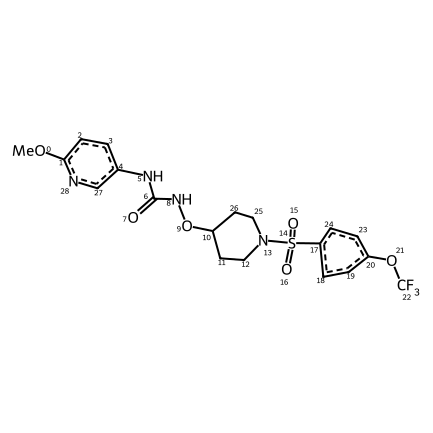 COc1ccc(NC(=O)NOC2CCN(S(=O)(=O)c3ccc(OC(F)(F)F)cc3)CC2)cn1